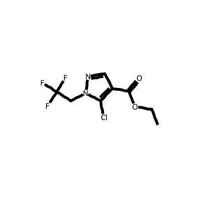 CCOC(=O)c1cnn(CC(F)(F)F)c1Cl